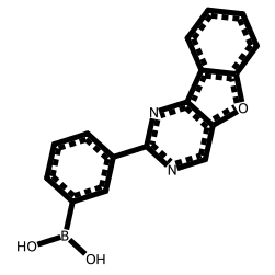 OB(O)c1cccc(-c2ncc3oc4ccccc4c3n2)c1